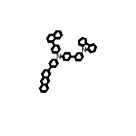 c1cc(-c2ccc(N(c3ccc(-c4ccc5cc6ccccc6cc5c4)cc3)c3ccc(-c4cccc5ccccc45)cc3)cc2)cc(-n2c3ccccc3c3ccccc32)c1